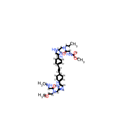 CCCN(CC1NC=C(c2ccc(C#Cc3ccc(-c4cnc(CN(CCOC)C(=O)CNC)[nH]4)cc3)cc2)N1)C(=O)CNC(=O)OC